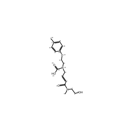 CN(CCO)C(=O)/C=C/CN(CCOc1ccc(I)cc1)C(=O)O